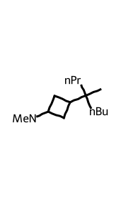 CCCCC(C)(CCC)C1CC(NC)C1